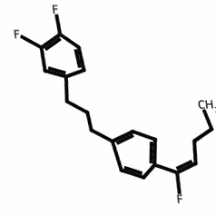 CCC/C=C(/F)c1ccc(CCCc2ccc(F)c(F)c2)cc1